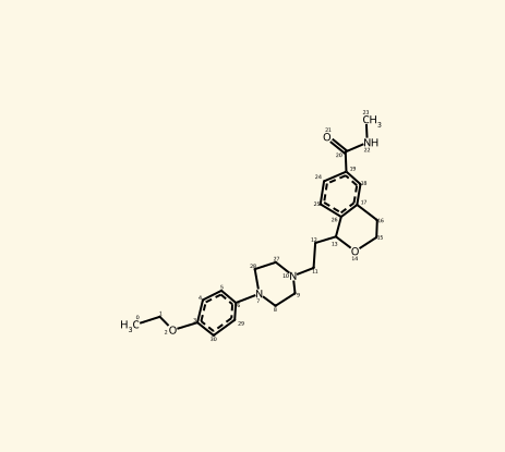 CCOc1ccc(N2CCN(CCC3OCCc4cc(C(=O)NC)ccc43)CC2)cc1